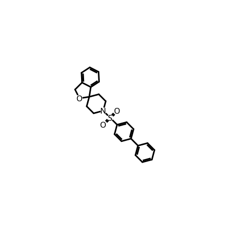 O=S(=O)(c1ccc(-c2ccccc2)cc1)N1CCC2(CC1)OCc1ccccc12